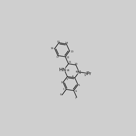 Cc1cc2c(cc1C)N(C(C)C)CC(c1ccccc1)N2